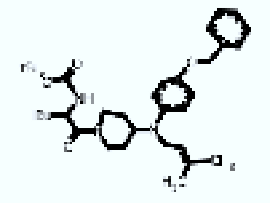 CCC(C)C(NC(=O)OC(C)(C)C)C(=O)N1CCC(N(CC=C(C)C)c2ccc(OCc3ccccc3)cc2)CC1